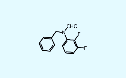 O=CN(Cc1ccccc1)c1cccc(F)c1F